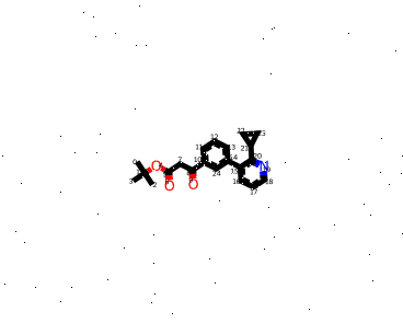 CC(C)(C)OC(=O)CC(=O)c1cccc(-c2cccnc2C2CC2)c1